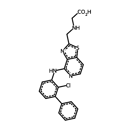 O=C(O)CNCc1nc2c(Nc3cccc(-c4ccccc4)c3Cl)nccc2s1